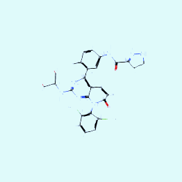 Cc1ccc(NC(=O)C2=NNCC2)cc1-c1nc(NC(CO)CO)nc2c1ccc(=O)n2-c1c(F)cccc1F